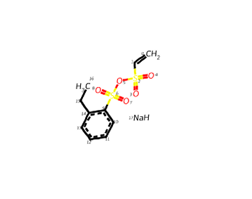 C=CS(=O)(=O)OS(=O)(=O)c1ccccc1CC.[NaH]